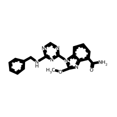 COc1nc2c(C(N)=O)cccc2n1-c1ncnc(NCc2ccccc2)n1